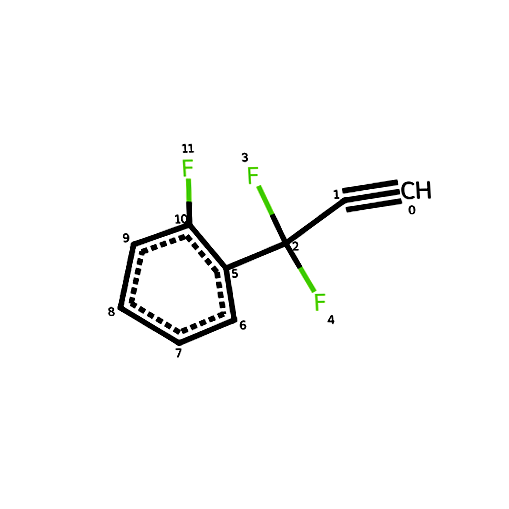 C#CC(F)(F)c1ccccc1F